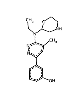 CCN(c1nnc(-c2cccc(O)c2)cc1C)C1CNCCO1